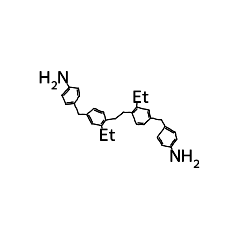 CCc1cc(Cc2ccc(N)cc2)ccc1CCc1ccc(Cc2ccc(N)cc2)cc1CC